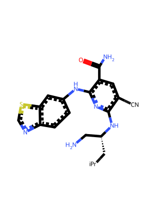 CC(C)C[C@H](CN)Nc1nc(Nc2ccc3ncsc3c2)c(C(N)=O)cc1C#N